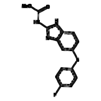 COC(=O)Nc1nc2cc(Sc3ccc(F)cc3)ccc2[nH]1